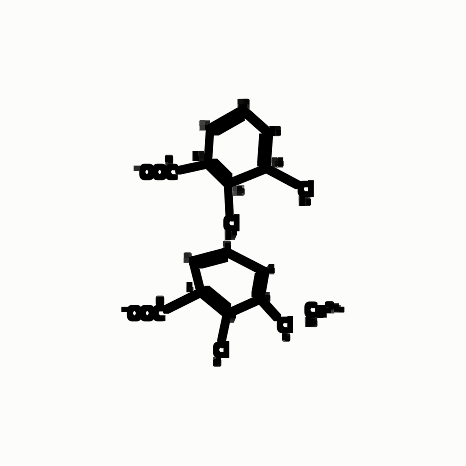 O=C([O-])c1cccc(Cl)c1Cl.O=C([O-])c1cccc(Cl)c1Cl.[Cu+2]